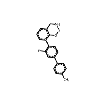 Cc1ccc(-c2ccc(-c3cccc4c3OSNC4)c(F)c2)cc1